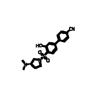 CN(C)[C@@H]1CCN(S(=O)(=O)c2ccc(-c3ccc(C#N)cc3)cc2O)C1